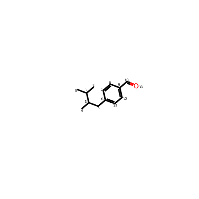 CC(C)C(C)Cc1ccc([C]=O)cc1